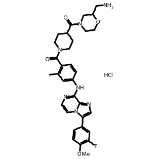 COc1ccc(-c2cnc3c(Nc4ccc(C(=O)N5CCC(C(=O)N6CCOC(CN)C6)CC5)c(C)c4)nccn23)cc1F.Cl